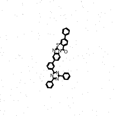 O=c1c2ccc(-c3ccccc3)cc2sc2nc3cc(-c4cccc(-c5nc(-c6ccccc6)nc(-c6ccccc6)n5)c4)ccc3n12